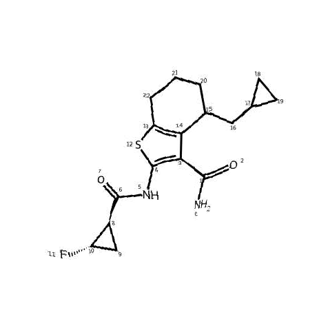 NC(=O)c1c(NC(=O)[C@H]2C[C@@H]2F)sc2c1C(CC1CC1)CCC2